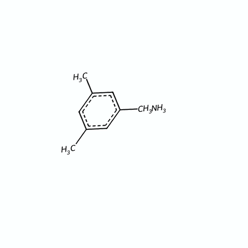 Cc1cc(C)cc(C)c1.N